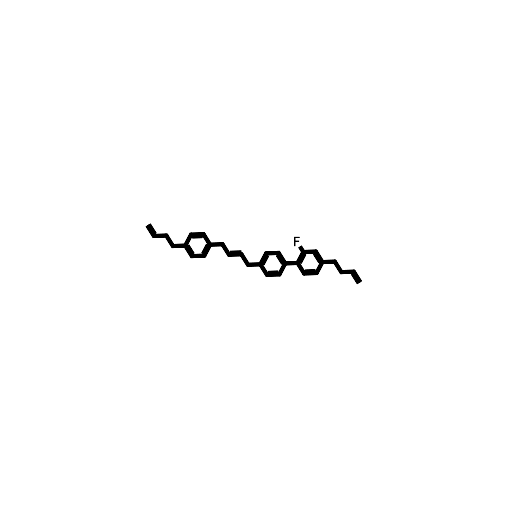 C=CCCc1ccc(C/C=C/Cc2ccc(-c3ccc(CCC=C)cc3F)cc2)cc1